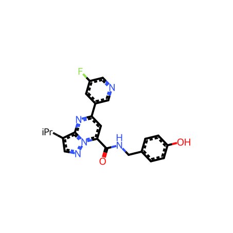 CC(C)c1cnn2c(C(=O)NCc3ccc(O)cc3)cc(-c3cncc(F)c3)nc12